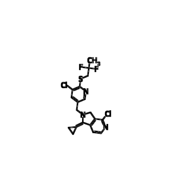 CC(F)(F)CSc1ncc(CN2Cc3c(ccnc3Cl)C2=C2CC2)cc1Cl